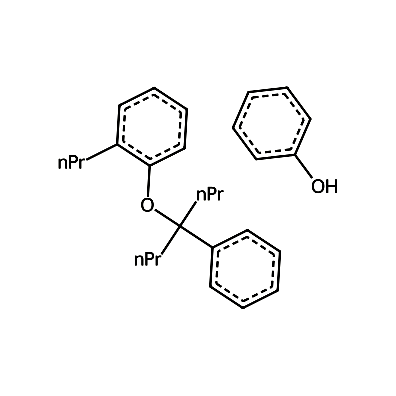 CCCc1ccccc1OC(CCC)(CCC)c1ccccc1.Oc1ccccc1